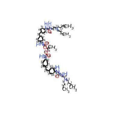 CCCCN(CCCC)CCNC(=O)Nc1ccc(Cc2ccc(NC(=O)OCC(C)OC(=O)Nc3ccc(Cc4ccc(NC(=O)NCCN(CCCC)CCCC)cc4)cc3)cc2)cc1